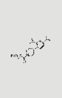 C=C(C)c1ccc(N2CCN(C(=O)C(=O)OCC)CC2)c(C(=C)C)c1